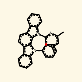 Cc1cc(C)nc(-n2c3ccccc3c3ccc4c5ccccc5n(-c5ccccc5)c4c32)n1